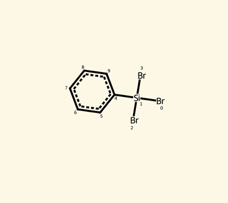 Br[Si](Br)(Br)c1ccccc1